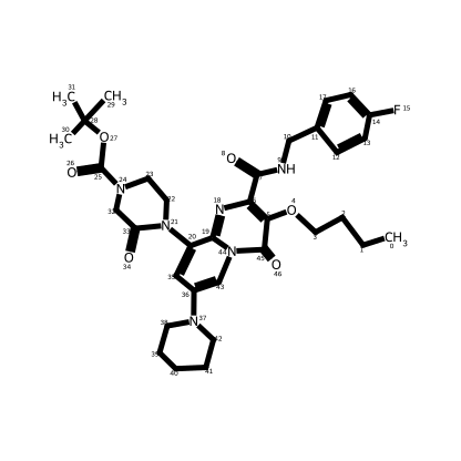 CCCCOc1c(C(=O)NCc2ccc(F)cc2)nc2c(N3CCN(C(=O)OC(C)(C)C)CC3=O)cc(N3CCCCC3)cn2c1=O